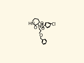 O=C1NCCCCC1N(CCCOCc1ccccc1)S(=O)(=O)c1ccc(Cl)cc1